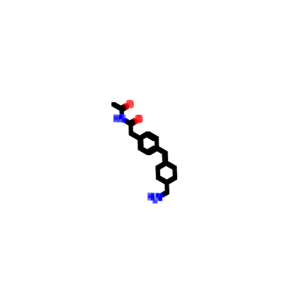 CC(=O)NC(=O)Cc1ccc(C=C2CCC(CN)CC2)cc1